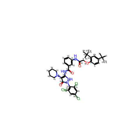 CCC(C)(C)c1ccc(OCC(=O)Nc2cccc(C(=O)Nc3[nH]n(-c4c(Cl)cc(Cl)cc4Cl)c(=O)c3N3CCCCC3)c2)c(C(C)(C)CC)c1